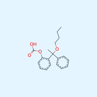 CCCCOC(C)(c1ccccc1)c1ccccc1OC(=O)O